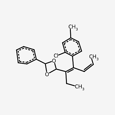 C/C=C\C(=C(/CC)C1OC(c2ccccc2)O1)c1ccc(C)cc1Cl